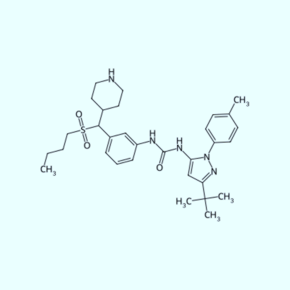 CCCCS(=O)(=O)C(c1cccc(NC(=O)Nc2cc(C(C)(C)C)nn2-c2ccc(C)cc2)c1)C1CCNCC1